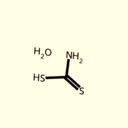 NC(=S)S.O